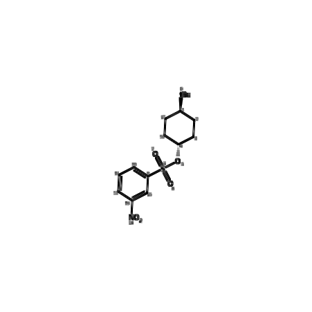 CC(C)(C)[C@H]1CC[C@H](OS(=O)(=O)c2cccc([N+](=O)[O-])c2)CC1